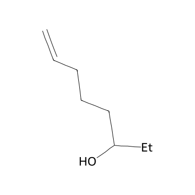 C=CCCCC(O)CC